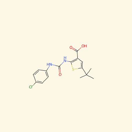 CC(C)(C)c1cc(C(=O)O)c(NC(=O)Nc2ccc(Cl)cc2)s1